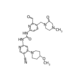 COC1CCN(c2cc(NC(=O)Nc3ccc(CN4CCN(C)CC4=O)c(C=O)n3)ncc2C#N)CC1